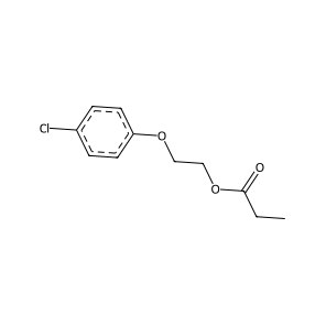 CCC(=O)OCCOc1ccc(Cl)cc1